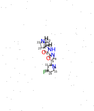 C[C@H]1[C@H](NC(=O)c2ncc(-c3cc(F)ccn3)o2)C2CCN1CC2